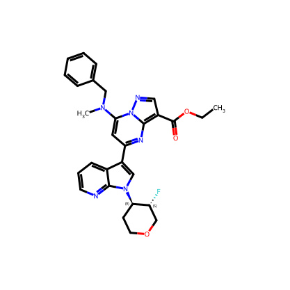 CCOC(=O)c1cnn2c(N(C)Cc3ccccc3)cc(-c3cn([C@@H]4CCOC[C@H]4F)c4ncccc34)nc12